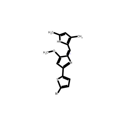 COC1=CC(c2ccc(Br)s2)=N/C1=C/c1[nH]c(C)cc1C